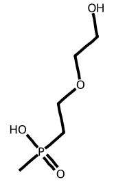 CP(=O)(O)CCOCCO